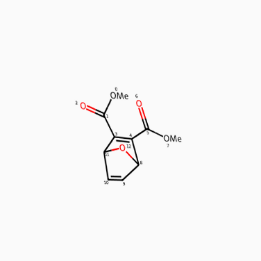 COC(=O)C1=C(C(=O)OC)C2C=CC1O2